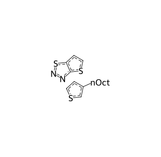 CCCCCCCCc1ccsc1.c1cc2snnc2s1